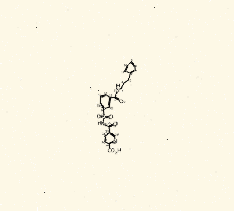 O=C(NCCCc1ccccc1)c1cccc(S(=O)(=O)NC(=O)c2ccc(C(=O)O)nc2)c1